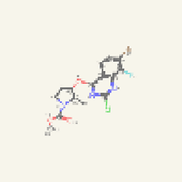 C[C@@H]1[C@H](Oc2nc(Cl)nc3c(F)c(Br)ccc23)CCN1C(=O)OC(C)(C)C